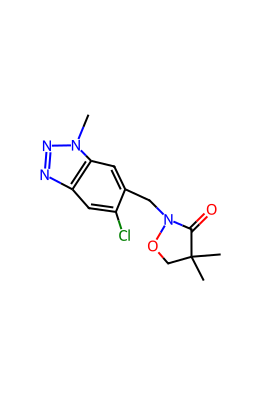 Cn1nnc2cc(Cl)c(CN3OCC(C)(C)C3=O)cc21